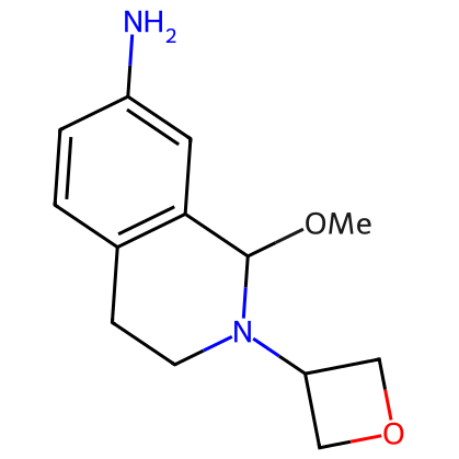 COC1c2cc(N)ccc2CCN1C1COC1